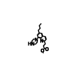 CCCCc1cc(N2CCNCC2)c2nc(CCC(=O)OC)ccc2c1